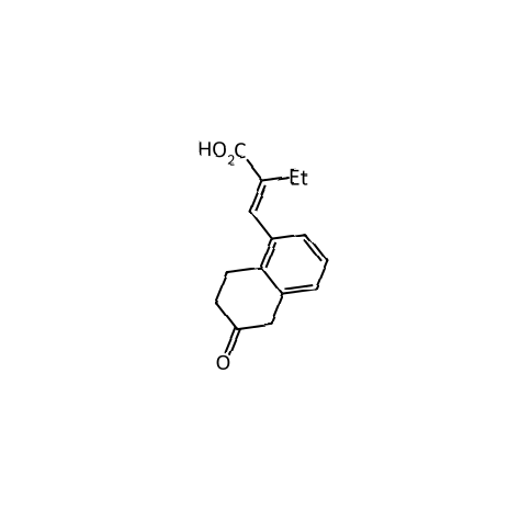 CC/C(=C\c1cccc2c1CCC(=O)C2)C(=O)O